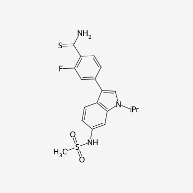 CC(C)n1cc(-c2ccc(C(N)=S)c(F)c2)c2ccc(NS(C)(=O)=O)cc21